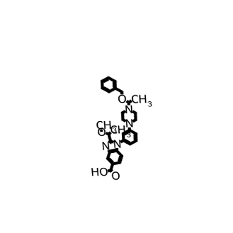 COC(C)c1nc2cc(C(=O)O)ccc2n1-c1cccc(N2CCN(C(C)OCc3ccccc3)CC2)c1